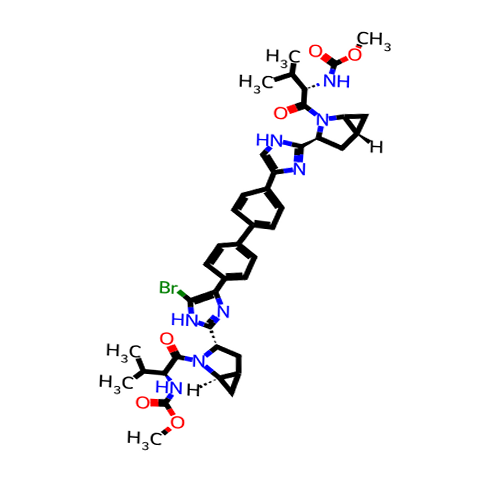 COC(=O)N[C@H](C(=O)N1C2C[C@@H]2C[C@H]1c1nc(-c2ccc(-c3ccc(-c4nc([C@@H]5CC6C[C@H]6N5C(=O)[C@@H](NC(=O)OC)C(C)C)[nH]c4Br)cc3)cc2)c[nH]1)C(C)C